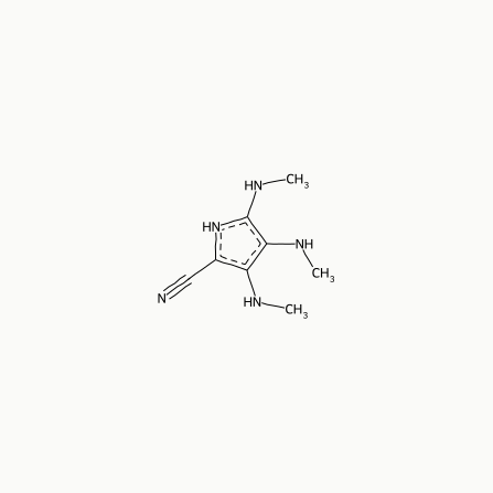 CNc1[nH]c(C#N)c(NC)c1NC